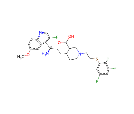 COc1ccc2ncc(F)c([C@H](N)CCC3CCN(CCSc4cc(F)cc(F)c4F)CC3C(=O)O)c2c1